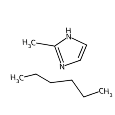 CCCCCC.Cc1ncc[nH]1